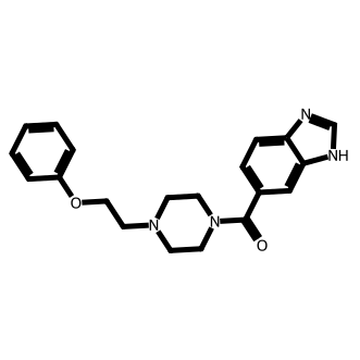 O=C(c1ccc2nc[nH]c2c1)N1CCN(CCOc2ccccc2)CC1